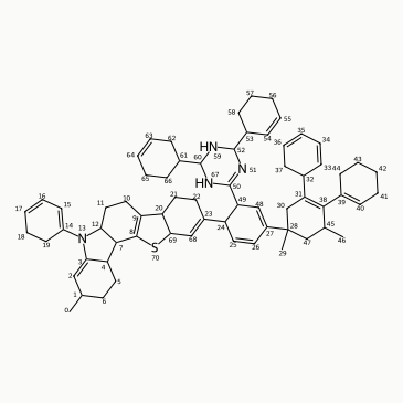 CC1C=C2C(CC1)C1C3=C(CCC1N2C1=CC=CCC1)C1CCC(C2C=CC(C4(C)CC(C5C=CC=CC5)=C(C5=CCCCC5)C(C)C4)=CC2C2=NC(C4C=CCCC4)NC(C4CC=CCC4)N2)=CC1S3